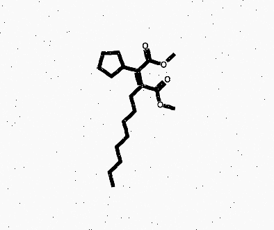 CCCCCCCC/C(C(=O)OC)=C(/C(=O)OC)C1CCCC1